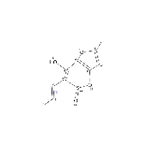 C/C=C/C1=C(O)c2oc(C)cc2OS1=O